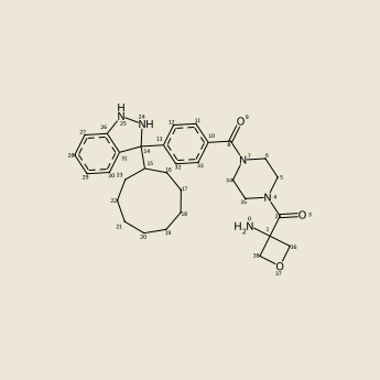 NC1(C(=O)N2CCN(C(=O)c3ccc(C4(C5CCCCCCCC5)NNc5ccccc54)cc3)CC2)COC1